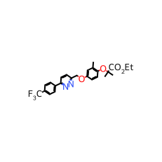 CCOC(=O)C(C)(C)Oc1ccc(OCc2ccc(-c3ccc(C(F)(F)F)cc3)nn2)cc1C